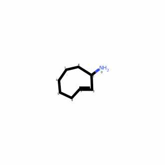 NC1/C=C/CCCCC1